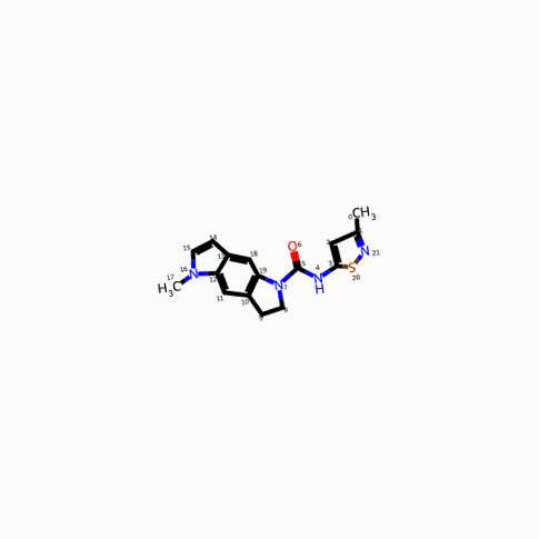 Cc1cc(NC(=O)N2CCc3cc4c(ccn4C)cc32)sn1